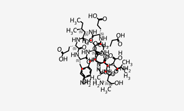 CC[C@H](C)[C@H](NC(=O)[C@H](CCC(=O)O)NC(=O)[C@H](CCC(=O)O)NC(=O)[C@H](Cc1ccc(O)cc1)NC(=O)[C@H](CC(N)=O)NC(=O)[C@@H](N)[C@@H](C)O)C(=O)N[C@@H](CCC(=O)O)C(=O)N[C@@H](CCCCN)C(=O)N[C@H](C(=O)N[C@@H](CC(C)C)C(=O)N[C@@H](CC(C)C)C(=O)O)C(C)C